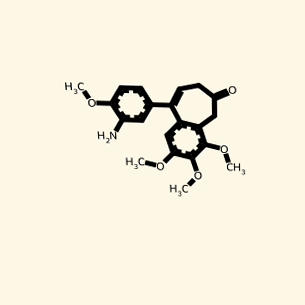 COc1ccc(C2=CCC(=O)Cc3c2cc(OC)c(OC)c3OC)cc1N